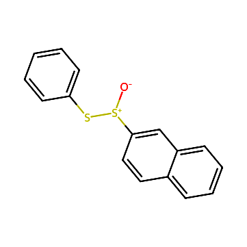 [O-][S+](Sc1ccccc1)c1ccc2ccccc2c1